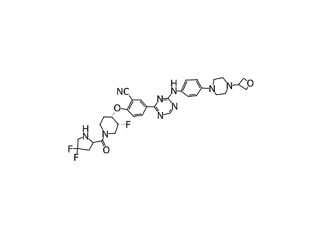 N#Cc1cc(-c2ncnc(Nc3ccc(N4CCN(C5COC5)CC4)cc3)n2)ccc1O[C@H]1CCN(C(=O)C2CC(F)(F)CN2)C[C@H]1F